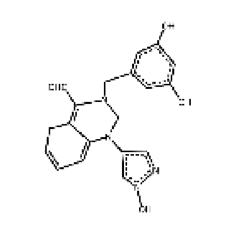 O=CC1=C2CC=CC=C2N(c2cnn(O)c2)CN1Cc1cc(O)cc(O)c1